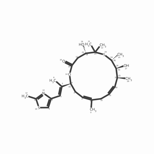 CC1=CC[C@@H](C(C)=Cc2csc(C)n2)OC(=O)C[C@H](O)C(C)(C)S[C@H](C)[C@@H](O)[C@@H](C)C=CC1